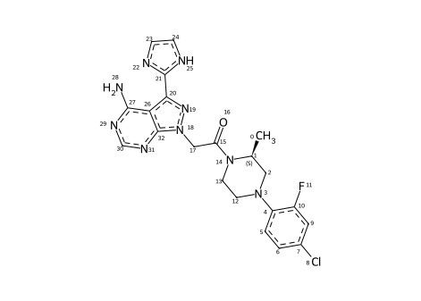 C[C@H]1CN(c2ccc(Cl)cc2F)CCN1C(=O)Cn1nc(-c2ncc[nH]2)c2c(N)ncnc21